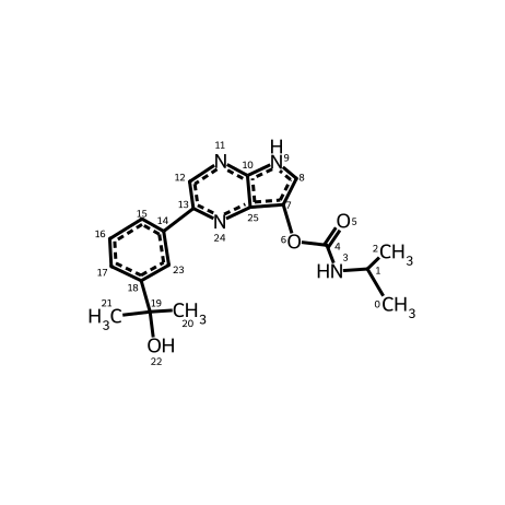 CC(C)NC(=O)Oc1c[nH]c2ncc(-c3cccc(C(C)(C)O)c3)nc12